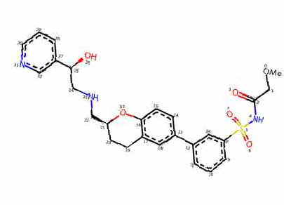 COCC(=O)NS(=O)(=O)c1cccc(-c2ccc3c(c2)CC[C@@H](CNC[C@H](O)c2cccnc2)O3)c1